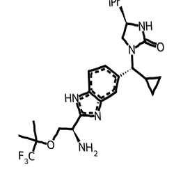 CC(C)[C@@H]1CN([C@@H](c2ccc3[nH]c([C@@H](N)COC(C)(C)C(F)(F)F)nc3c2)C2CC2)C(=O)N1